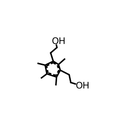 Cc1c(C)c(CCO)c(C)c(CCO)c1C